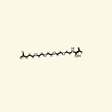 CC(C)=C(O)NCCOCCOCCOCCOCCCC(C)C